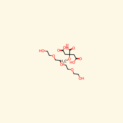 COC(CC(=O)O)(CC(=O)O)C(=O)O.OCCOCCOCCOCCO